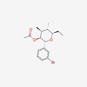 CC[C@H]1O[C@H](c2cccc(Br)c2)[C@@H](OC(C)=O)[C@@H](C)[C@@H]1C